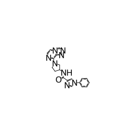 O=C(NC1CCN(c2nccn3cnnc23)C1)c1cn(-c2ccccc2)cn1